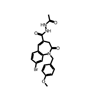 COc1ccc(CN2C(=O)CC(C(=O)NNC(C)=O)=Cc3ccc(Br)cc32)cc1